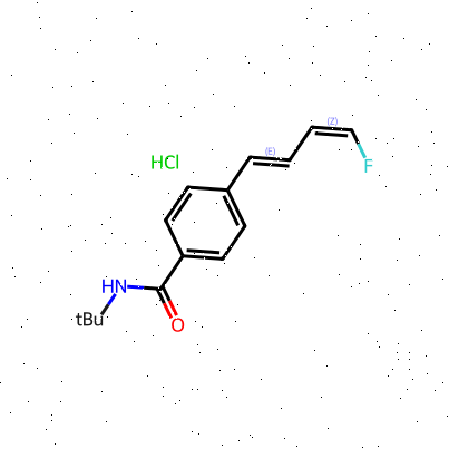 CC(C)(C)NC(=O)c1ccc(/C=C/C=C\F)cc1.Cl